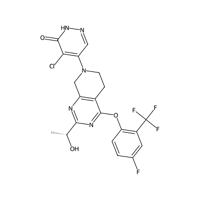 C[C@@H](O)c1nc2c(c(Oc3ccc(F)cc3C(F)(F)F)n1)CCN(c1cn[nH]c(=O)c1Cl)C2